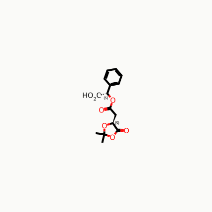 CC1(C)OC(=O)[C@H](CC(=O)O[C@H](C(=O)O)c2ccccc2)O1